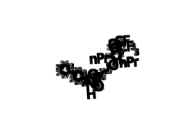 CCCc1cc2c(c(CCC)c1OCCCCN1OCC(C)(c3ccc(-c4ccccc4)cc3)NC1=O)COC2(C(F)(F)F)C(F)(F)F